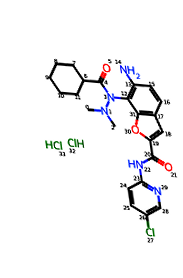 CN(C)N(C(=O)C1CCCCC1)c1c(N)ccc2cc(C(=O)Nc3ccc(Cl)cn3)oc12.Cl.Cl